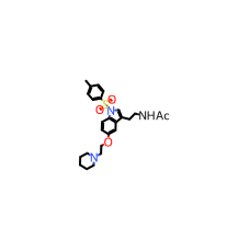 CC(=O)NCCc1cn(S(=O)(=O)c2ccc(C)cc2)c2ccc(OCCN3CCCCC3)cc12